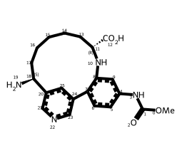 COC(=O)Nc1ccc2c(c1)N[C@@H](C(=O)O)CCCCC[C@H](N)c1cncc-2c1